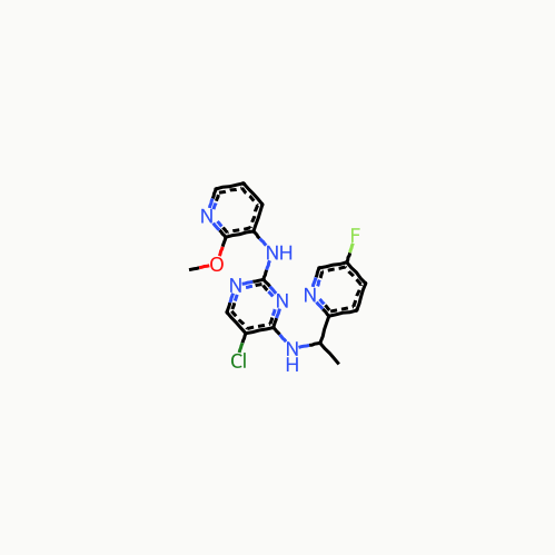 COc1ncccc1Nc1ncc(Cl)c(NC(C)c2ccc(F)cn2)n1